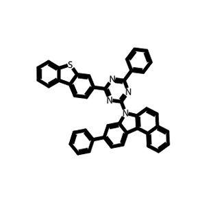 c1ccc(-c2ccc3c4c5ccccc5ccc4n(-c4nc(-c5ccccc5)nc(-c5ccc6c(c5)sc5ccccc56)n4)c3c2)cc1